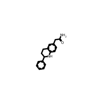 NC(=O)Cc1ccc2c(c1)CCC(c1ccccc1)N2